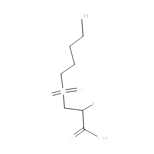 CCCCCS(=O)(=O)CC(I)C(=O)O